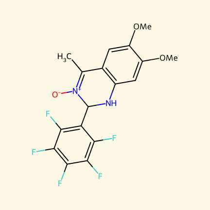 COc1cc2c(cc1OC)C(C)=[N+]([O-])C(c1c(F)c(F)c(F)c(F)c1F)N2